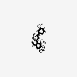 COc1cccc(C(=O)CC2c3c(cc4c(c3OC)OCO4)CCN2C)c1